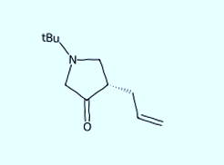 C=CC[C@H]1CN(C(C)(C)C)CC1=O